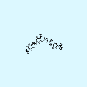 CCN(CCOCC(=O)Oc1ccc([N+](=O)[O-])cc1)c1ccc(N=Nc2ccc([N+](=O)[O-])cc2)cc1